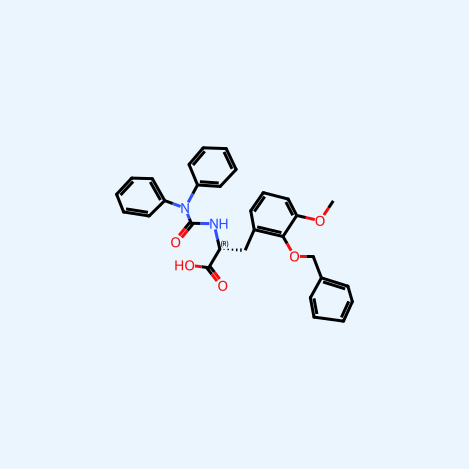 COc1cccc(C[C@@H](NC(=O)N(c2ccccc2)c2ccccc2)C(=O)O)c1OCc1ccccc1